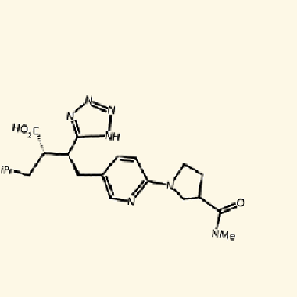 CNC(=O)C1CCN(c2ccc(C[C@H](c3nnn[nH]3)[C@H](CC(C)C)C(=O)O)cn2)C1